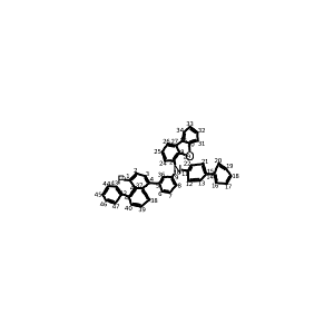 Fc1ccc(-c2cccc(N(c3ccc(-c4ccccc4)cc3)c3cccc4c3oc3ccccc34)c2)c2cccc(-c3ccccc3)c12